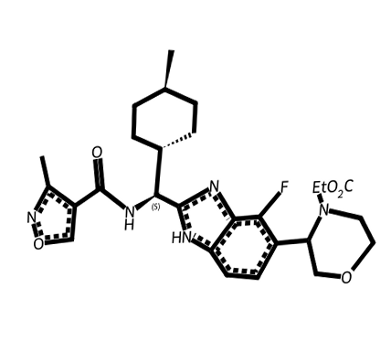 CCOC(=O)N1CCOCC1c1ccc2[nH]c([C@@H](NC(=O)c3conc3C)[C@H]3CC[C@H](C)CC3)nc2c1F